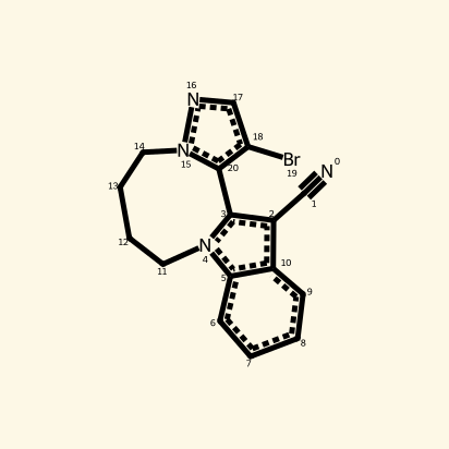 N#Cc1c2n(c3ccccc13)CCCCn1ncc(Br)c1-2